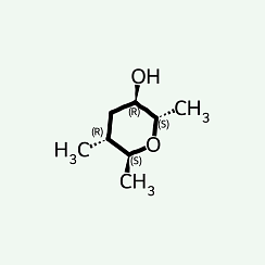 C[C@@H]1C[C@@H](O)[C@H](C)O[C@H]1C